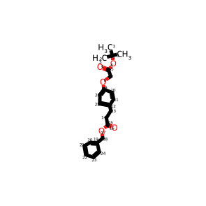 CC(C)(C)OC(=O)COc1ccc(CCC(=O)OCc2ccccc2)cc1